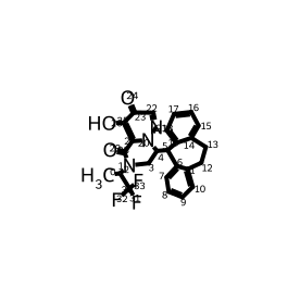 CC(N1CC(C2c3ccccc3CCc3ccccc32)n2ncc(=O)c(O)c2C1=O)C(F)(F)F